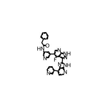 O=C(Cc1ccccc1)Nc1cncc(-c2cnc3[nH]nc(-c4nc5c(-c6cccnc6)ccnc5[nH]4)c3c2F)c1